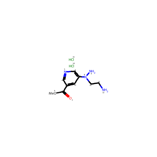 COC(=O)c1cncc(N(N)CCN)c1.Cl.Cl